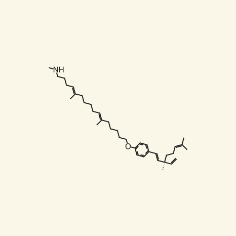 C=C[C@@](C)(/C=C/c1ccc(OCCCCC/C(C)=C/CCCC/C(C)=C/CCCNC)cc1)CCC=C(C)C